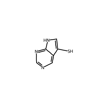 Sc1c[nH]c2ncncc12